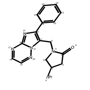 CCCC1CC(=O)N(Cc2c(-c3ccccc3)nc3nccnn23)C1